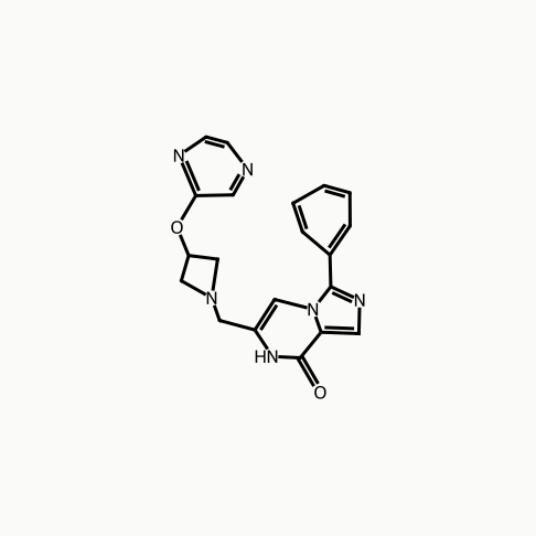 O=c1[nH]c(CN2CC(Oc3cnccn3)C2)cn2c(-c3ccccc3)ncc12